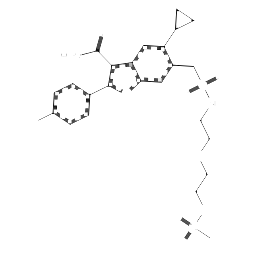 CNC(=O)c1c(-c2ccc(F)cc2)oc2cc(CS(=O)(=O)NCCOCCOS(C)(=O)=O)c(C3CC3)cc12